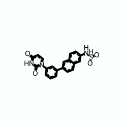 O=c1ccn(-c2cccc(-c3ccc4cc(N[SH](=O)=O)ccc4c3)c2)c(=O)[nH]1